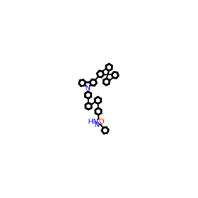 c1ccc(C2=NNC(c3ccc(-c4ccccc4-c4ccccc4-c4ccc(-n5c6ccccc6c6cc(-c7ccc8c(c7)C7(c9ccccc9-c9ccccc97)c7ccccc7-8)ccc65)cc4)cc3)O2)cc1